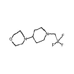 F[B-](F)(F)CN1CCC(N2CCOCC2)CC1